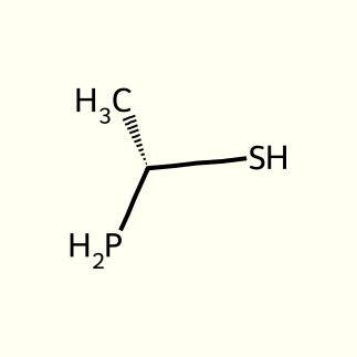 C[C@@H](P)S